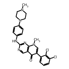 CN1CCN(c2ccc(Nc3ncc4c(=O)c(-c5cccc(Cl)c5Cl)cn(C)c4n3)cc2)CC1